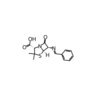 CC1(C)S[C@@H]2[C@H](N=Cc3ccccc3)C(=O)N2[C@H]1C(=O)O